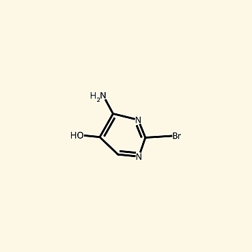 Nc1nc(Br)ncc1O